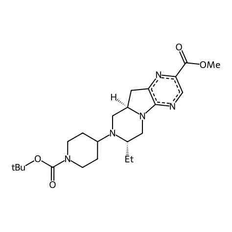 CC[C@H]1CN2c3ncc(C(=O)OC)nc3C[C@@H]2CN1C1CCN(C(=O)OC(C)(C)C)CC1